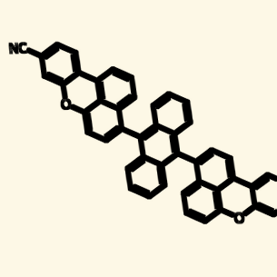 N#Cc1ccc2c(c1)Oc1ccc(-c3c4ccccc4c(-c4ccc5c6c(cccc46)Oc4ccccc4-5)c4ccccc34)c3cccc-2c13